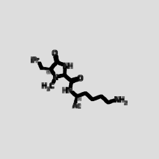 CC(=O)[C@H](CCCCN)NC(=O)C1NC(=O)[C@H](CC(C)C)N1C